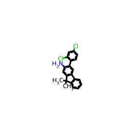 CC1(C)c2ccccc2-c2cc(-c3ccc(Cl)cc3Cl)c(N)cc21